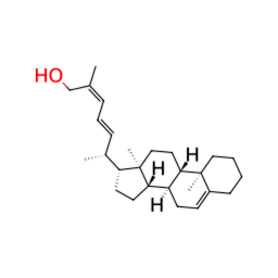 CC(=CC=C[C@@H](C)[C@H]1CC[C@H]2[C@@H]3CC=C4CCCC[C@]4(C)[C@H]3CC[C@]12C)CO